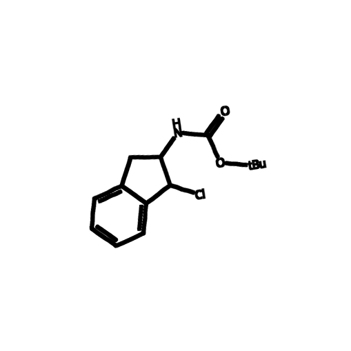 CC(C)(C)OC(=O)NC1Cc2ccccc2C1Cl